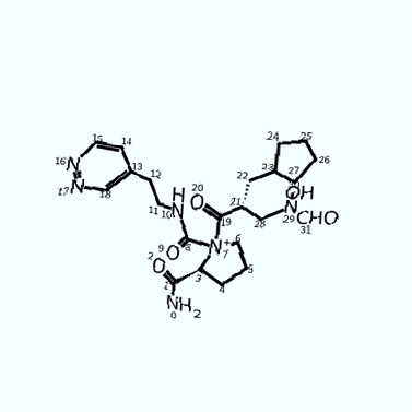 NC(=O)[C@@H]1CCC[N+]1(C(=O)NCCc1ccnnc1)C(=O)[C@H](CC1CCCC1)CN(O)C=O